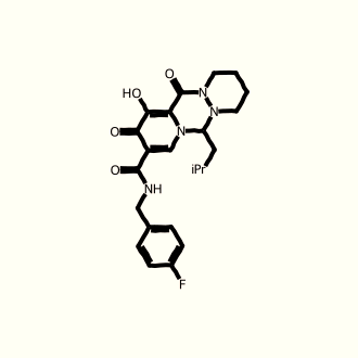 CC(C)CC1N2CCCCN2C(=O)c2c(O)c(=O)c(C(=O)NCc3ccc(F)cc3)cn21